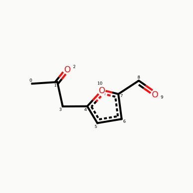 CC(=O)Cc1ccc(C=O)o1